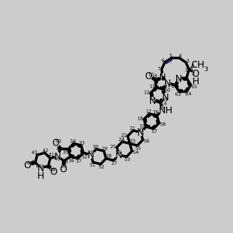 C[C@@]1(O)CC/C=C\Cn2c(=O)c3cnc(Nc4ccc(N5CCC6(CCN(CC7CCN(c8ccc9c(c8)C(=O)N(C8CCC(=O)NC8=O)C9=O)CC7)CC6)CC5)cc4)nc3n2-c2cccc1n2